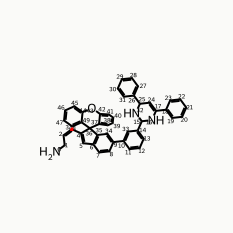 NC/C=C\C1=Cc2ccc(-c3cccc(C4NC(c5ccccc5)=CC(c5ccccc5)N4)c3)cc2C12c1ccccc1Oc1ccccc12